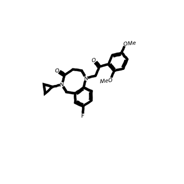 COc1ccc(OC)c(C(=O)CN2CCC(=O)N(C3CC3)Cc3cc(F)ccc32)c1